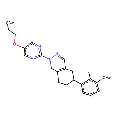 COCCOc1cnc(N2CC3=C(C=N2)CC(c2cccc(OC)c2C)CC3)nc1